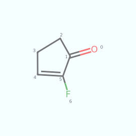 O=C1CCC=C1F